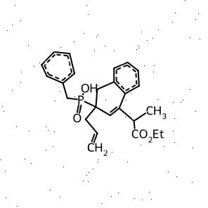 C=CCC1(P(=O)(O)Cc2ccccc2)C=C(C(C)C(=O)OCC)c2ccccc2C1